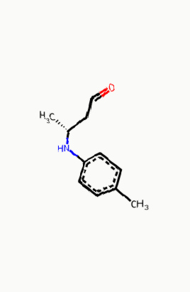 Cc1ccc(N[C@H](C)CC=O)cc1